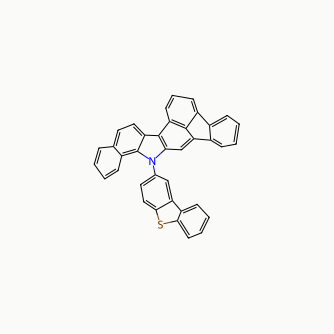 c1ccc2c(c1)-c1cccc3c1c-2cc1c3c2ccc3ccccc3c2n1-c1ccc2sc3ccccc3c2c1